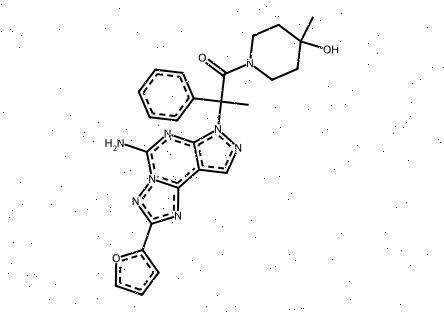 CC1(O)CCN(C(=O)C(C)(c2ccccc2)n2ncc3c2nc(N)n2nc(-c4ccco4)nc32)CC1